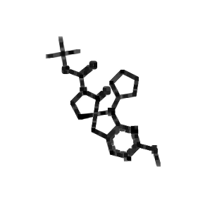 CSc1ncc2c(n1)N(C1CCCC1)[C@]1(CCN(C(=O)OC(C)(C)C)C1=O)C2